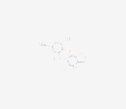 Cc1cc(C#N)cc(C)c1Oc1nc(Cl)nc2c1CCC2